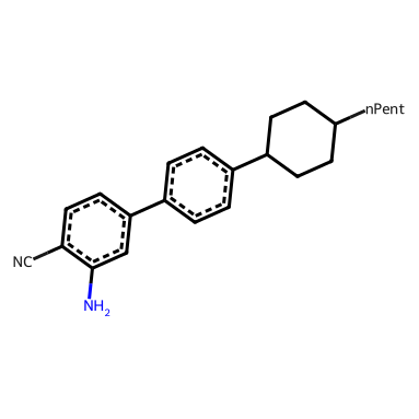 CCCCCC1CCC(c2ccc(-c3ccc(C#N)c(N)c3)cc2)CC1